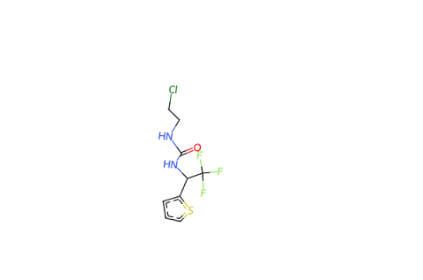 O=C(NCCCl)NC(c1cccs1)C(F)(F)F